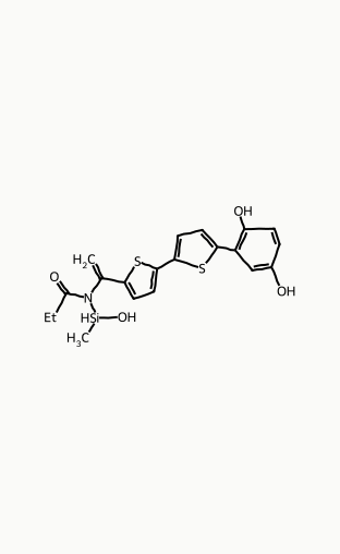 C=C(c1ccc(-c2ccc(-c3cc(O)ccc3O)s2)s1)N(C(=O)CC)[SiH](C)O